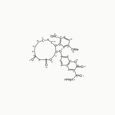 CCCCCCCC(=O)c1cc2ccc(OC3COC(=O)CC(=O)CCCCCCC3c3cc(OC)ccc3C=O)cc2oc1=O